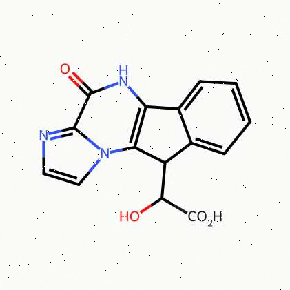 O=C(O)C(O)C1c2ccccc2-c2[nH]c(=O)c3nccn3c21